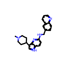 CN1CCC(c2c[nH]c3ccc(NCc4ccc5ncccc5c4)nc23)CC1